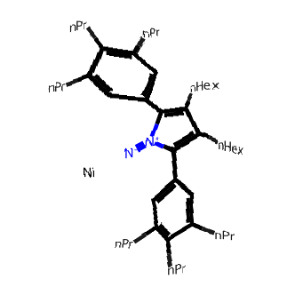 CCCCCCC1=C(c2cc(CCC)c(CCC)c(CCC)c2)[N+](=[N-])C(c2cc(CCC)c(CCC)c(CCC)c2)=C1CCCCCC.[Ni]